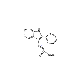 COC(=O)/C=C/c1c(-c2ccccc2)[nH]c2ccccc12